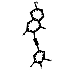 CCCc1ccc2c(F)c(C#Cc3cc(F)c(F)c(F)c3)c(F)cc2c1